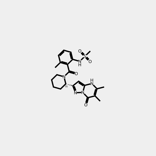 Cc1cccc(NS(C)(=O)=O)c1C(=O)N1CCCC[C@H]1c1cc2[nH]c(C)c(C)c(=O)n2n1